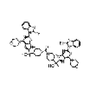 CCc1nc2ccccc2n1-c1nc(N2CCOCC2)c2nc(C(C)(O)C3CCN(C(=O)N4CCC(C(C)(O)c5nc6c(N7CCOCC7)nc(-n7c(CC)nc8ccccc87)nc6n5C)CC4)CC3)n(C)c2n1